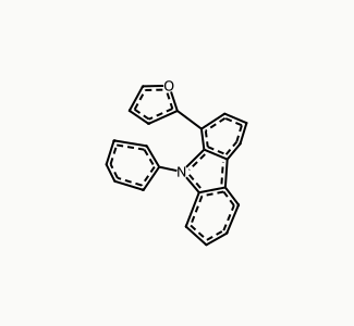 c1ccc(-n2c3ccccc3c3cccc(-c4ccco4)c32)cc1